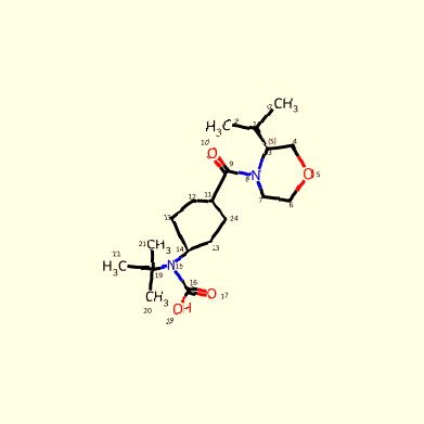 CC(C)[C@H]1COCCN1C(=O)C1CCC(N(C(=O)O)C(C)(C)C)CC1